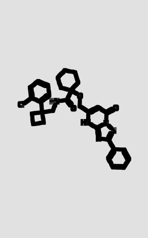 O=C(NCC1(c2ccccc2Cl)CCC1)C1(OCc2cc(=O)n3nc(-c4ccccc4)nc3[nH]2)CCCCC1